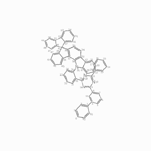 c1ccc(-c2cccc(-c3nc(-c4ccccc4)nc(-c4ccccc4-n4c5ccccc5c5ccc6c(c54)-c4ccccc4C64c5ccccc5-c5ccccc54)n3)c2)cc1